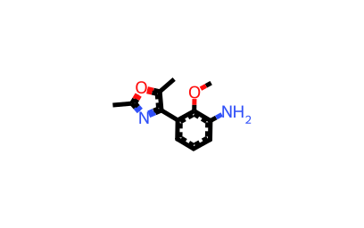 COc1c(N)cccc1-c1nc(C)oc1C